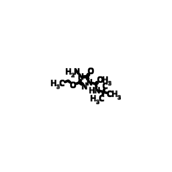 CCOc1nn(C(=O)NC(C)(C)C)c(=O)n1N